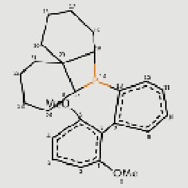 COc1cccc(OC)c1-c1ccccc1P1C2CCCCC23CCCCC13